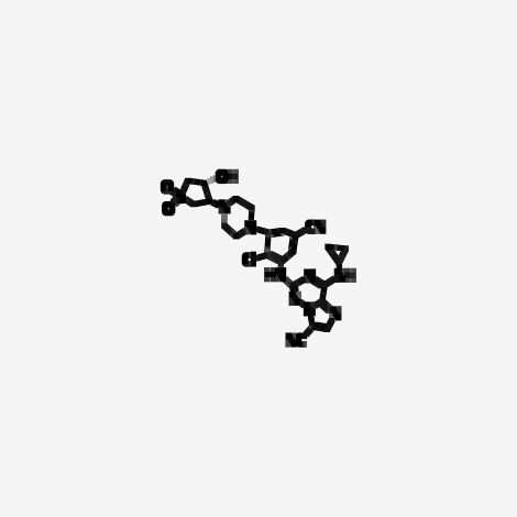 N#Cc1cc(Nc2nc(NC3CC3)c3ncc(C#N)n3n2)c(Cl)c(N2CCN([C@H]3CS(=O)(=O)C[C@@H]3O)CC2)c1